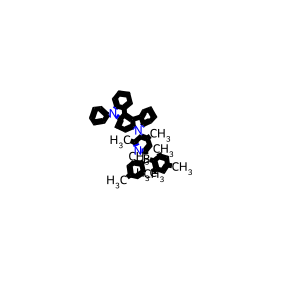 Cc1cc(C)c(B(c2cc(C)c(-n3c4ccccc4c4c5c6ccccc6n(-c6ccccc6)c5ccc43)c(C)n2)c2c(C)cc(C)cc2C)c(C)c1